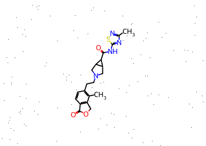 Cc1nsc(NC(=O)C2C3CN(CCc4ccc5c(c4C)COC5=O)CC32)n1